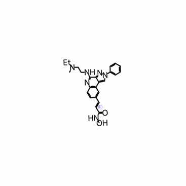 CCN(C)CCNc1nc2ccc(/C=C/C(=O)NO)cc2c2cn(-c3ccccc3)nc12